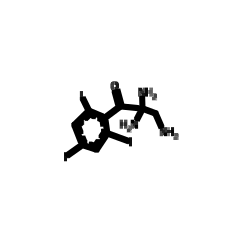 NCC(N)(N)C(=O)c1c(I)cc(I)cc1I